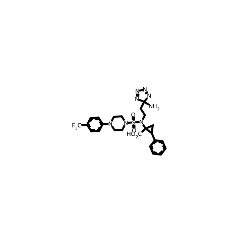 NC1(CCN(C2(C(=O)O)CC2c2ccccc2)S(=O)(=O)N2CCN(c3ccc(C(F)(F)F)cc3)CC2)N=NN=N1